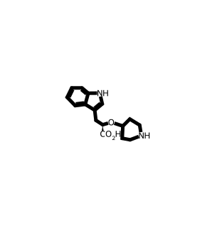 O=C(O)[C@H](Cc1c[nH]c2ccccc12)OC1CCNCC1